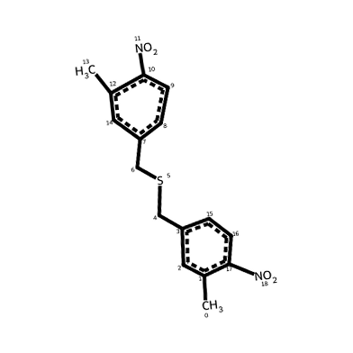 Cc1cc(CSCc2ccc([N+](=O)[O-])c(C)c2)ccc1[N+](=O)[O-]